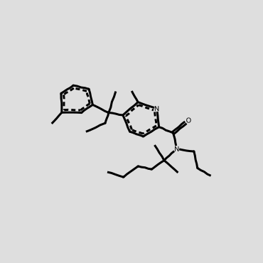 CCCCC(C)(C)N(CCC)C(=O)c1ccc(C(C)(CC)c2cccc(C)c2)c(C)n1